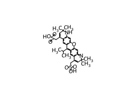 CC(C)C1=c2cc3c(cc2Oc2cc4c(cc21)C(CS(=O)(=O)O)=CC(C)(C)N4)=NC(C)(C)C=C3CS(=O)(=O)O